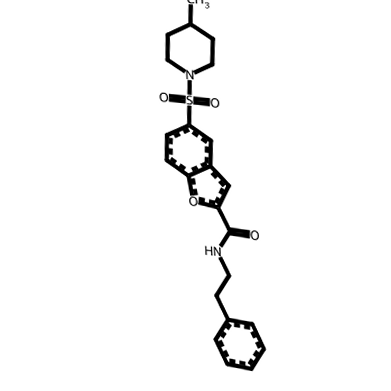 CC1CCN(S(=O)(=O)c2ccc3oc(C(=O)NCCc4ccccc4)cc3c2)CC1